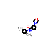 Cc1ccc([N+](=O)[O-])cc1NC(=O)c1cccc(N2CCOCC2)c1